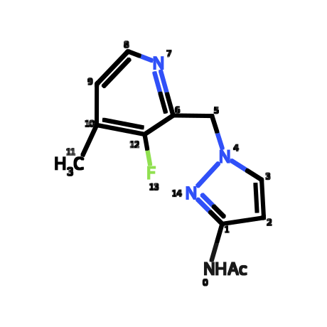 CC(=O)Nc1ccn(Cc2nccc(C)c2F)n1